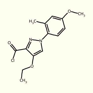 CCOc1cn(-c2ccc(OC)cc2C)nc1C(=O)Cl